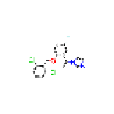 C=C(c1cc(F)ccc1OCc1c(Cl)cccc1Cl)n1ccnc1